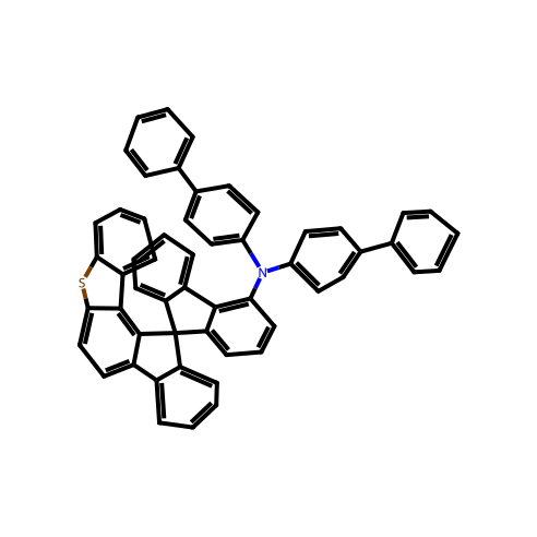 c1ccc(-c2ccc(N(c3ccc(-c4ccccc4)cc3)c3cccc4c3-c3ccccc3C43c4ccccc4-c4ccc5sc6ccccc6c5c43)cc2)cc1